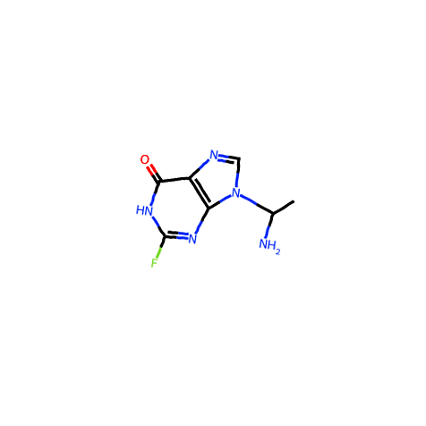 CC(N)n1cnc2c(=O)[nH]c(F)nc21